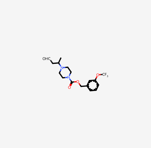 CC(CC=O)N1CCN(C(=O)OCc2cccc(OC(F)(F)F)c2)CC1